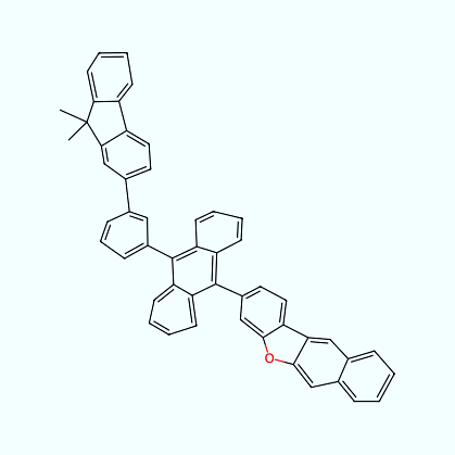 CC1(C)c2ccccc2-c2ccc(-c3cccc(-c4c5ccccc5c(-c5ccc6c(c5)oc5cc7ccccc7cc56)c5ccccc45)c3)cc21